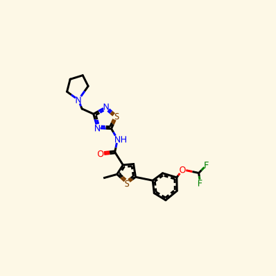 Cc1sc(-c2cccc(OC(F)F)c2)cc1C(=O)Nc1nc(CN2CCCC2)ns1